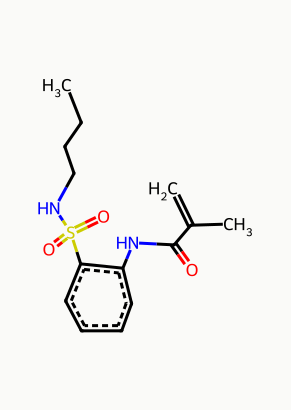 C=C(C)C(=O)Nc1ccccc1S(=O)(=O)NCCCC